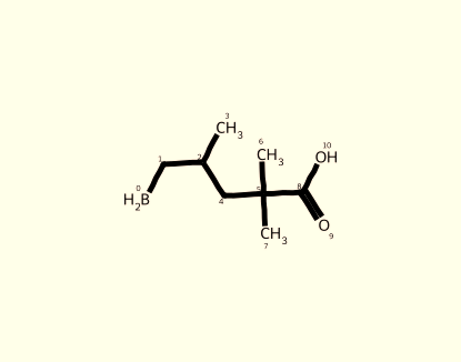 BCC(C)CC(C)(C)C(=O)O